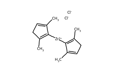 CC1=CCC(C)=[C]1[Zr+2][C]1=C(C)CC=C1C.[Cl-].[Cl-]